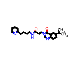 CC(C)c1ccc2ncn(C=CC(=O)NCCCCc3ccccn3)c(=O)c2c1